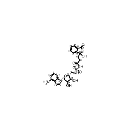 Nc1ncnc2c1ncn2[C@@H]1O[C@H](CNS(=O)(=O)NC(=O)CCC2(O)OC(=O)c3ccccc32)[C@@H](O)[C@H]1O